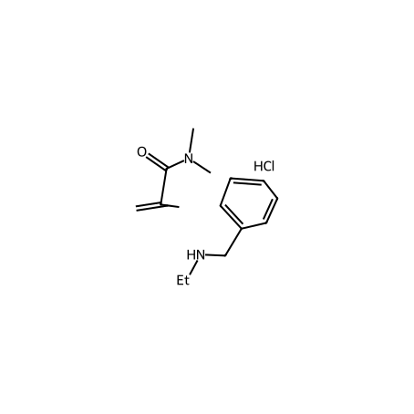 C=C(C)C(=O)N(C)C.CCNCc1ccccc1.Cl